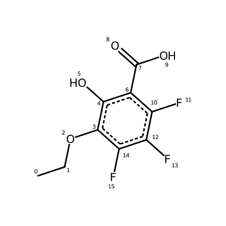 CCOc1c(O)c(C(=O)O)c(F)c(F)c1F